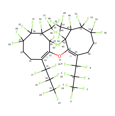 FC(F)(F)C(F)(F)C(F)(F)/C1=C(\O/C2=C(\C(F)(F)C(F)(F)C(F)(F)F)CCC(F)(F)C(F)(F)C(F)(C(F)(F)F)C2(F)F)C(F)(F)C(F)(C(F)(F)F)C(F)(F)C(F)(F)CC1